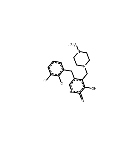 CCOC(=O)N1CCN(Cc2c(Cc3cccc(Cl)c3Cl)c[nH]c(=O)c2O)CC1